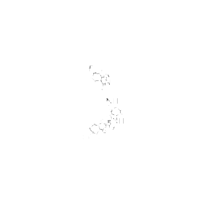 O=S(=O)(Nc1cccc(CNCCCc2noc3cc(F)ccc23)c1)c1cc2ccc(Cl)cc2s1